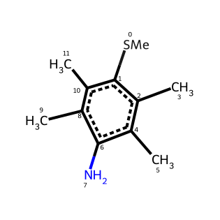 CSc1c(C)c(C)c(N)c(C)c1C